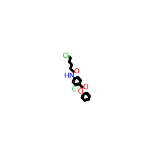 O=C(CCCCCl)Nc1ccc(C(=O)Oc2ccccc2)c(Cl)c1